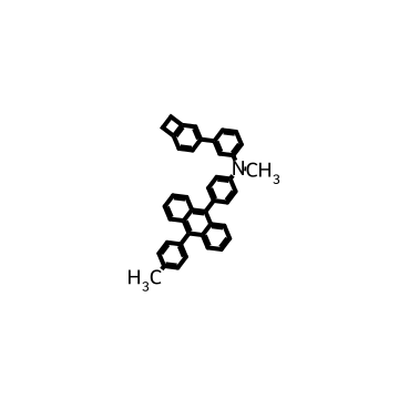 Cc1ccc(-c2c3ccccc3c(-c3ccc(N(C)c4cccc(-c5ccc6c(c5)CC6)c4)cc3)c3ccccc23)cc1